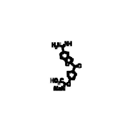 CNC(Oc1ccc(C(=O)c2cc3cc(C(=N)N)ccc3o2)cc1)C(=O)O